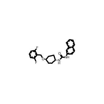 O=C(Nc1ccc2ccccc2c1)N[C@H]1CC[C@H](OCc2c(F)cccc2F)CC1